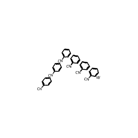 [C-]#[N+]c1ccccc1.[C-]#[N+]c1ccccc1.[C-]#[N+]c1ccccc1.[C-]#[N+]c1ccccc1.[C-]#[N+]c1ccccc1.[C-]#[N+]c1ccccc1.[W]